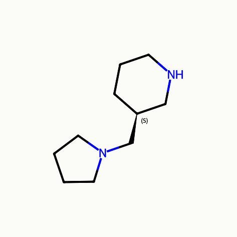 C1CNC[C@@H](CN2CCCC2)C1